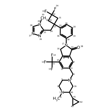 CN1CCN(Cc2cc3c(c(C(F)(F)F)c2)CN(c2cccc(C4(Cc5nncn5C)CC(F)(F)C4)c2)C3=O)CC1C1CC1